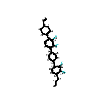 C=CC1CC=C(c2ccc(-c3ccc(-c4ccc(CCC)c(F)c4F)cc3)c(F)c2F)CC1